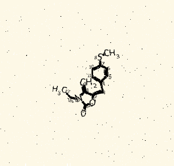 C=c1/c(=C\c2ccc(SC)cc2)oc(=O)n1CC